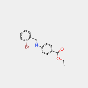 CCOC(=O)c1ccc(N=Cc2ccccc2Br)cc1